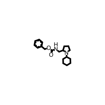 O=C(NCC1CCCN1C1CCCCC1)OCc1ccccc1